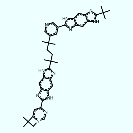 CC(C)(C)c1nc2cc3[nH]c(-c4cncc(C(C)(C)CCC(C)(C)c5nc6cc7[nH]c(-c8cc9[n+](cn8)CC9(C)C)nc7cc6[nH]5)c4)nc3cc2[nH]1